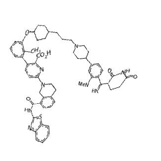 CNc1cc(C2CCN(CCCC3CCC(Oc4cccc(-c5ccc(N6CCc7cccc(C(=O)Nc8nc9ccccc9s8)c7C6)nc5C(=O)O)c4C)CC3)CC2)ccc1C(=N)C1CCC(=O)NC1=O